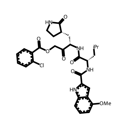 COc1cccc2[nH]c(C(=O)N[C@@H](CC(C)C)C(=O)N[C@@H](C[C@@H]3CCNC3=O)C(=O)COC(=O)c3ccccc3Cl)cc12